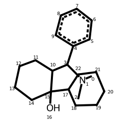 CN(C)C(c1ccccc1)C1CCCCC1(O)C1CCCCC1